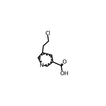 O=C(O)c1cncc(CCCl)c1